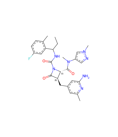 CCC(NC(=O)N1C(=O)[C@H](Cc2cc(C)nc(N)c2)[C@H]1C(=O)N(C)c1cnn(C)c1)c1cc(F)ccc1C